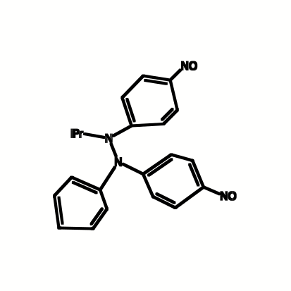 CC(C)N(c1ccc(N=O)cc1)N(c1ccccc1)c1ccc(N=O)cc1